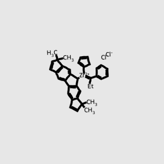 CC/[C](c1ccccc1)=[Zr+2](/[C]1=CC=CC1)[CH]1c2cc3c(cc2-c2cc4c(cc21)C(C)(C)C=C4)C=CC3(C)C.[Cl-].[Cl-]